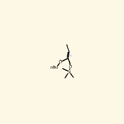 C/C=C(\OCCCC)O[Si](C)(C)C